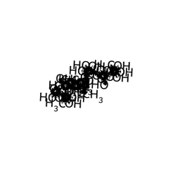 C=C(C)[C@@H]1CC[C@]2(C(=O)OC3OC(COC4O[C@H](CO)[C@@H](O[C@@H]5O[C@@H](C)[C@H](O)[C@@H](O)[C@H]5O)[C@H](O)[C@H]4O)[C@@H](O)[C@H](O)[C@H]3O)CC[C@]3(C)[C@H](CC[C@@H]4[C@@]5(C)CC[C@H](O[C@@H]6OC[C@H](O)[C@H](O)[C@H]6O[C@@H]6O[C@@H](C)[C@H](O)[C@@H](O)[C@H]6O)[C@@](C)(CO)C5CC[C@]43C)[C@@H]12